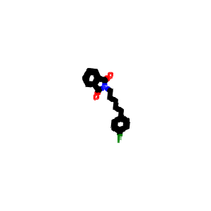 O=C1c2ccccc2C(=O)N1CCCCCc1ccc(F)cc1